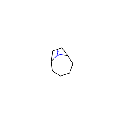 [CH]1CCCC2CCC1N2